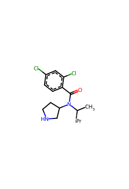 CC(C)C(C)N(C(=O)c1ccc(Cl)cc1Cl)C1CCNC1